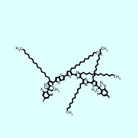 CCCCCCCCCCCCCCc1cc(C(C)(CC)c2c(F)cc(F)cc2F)sc1-c1cc2sc(-c3cc(CCCCCCCCCCCC)c(-c4nc(CCCCCCCCCCCC)c(-c5sc(-c6sc(C(C)(C)c7c(F)cc(F)cc7F)cc6CCCCCCCCCCCC)nc5CCCCCCCCCCCC)s4)s3)cc2s1